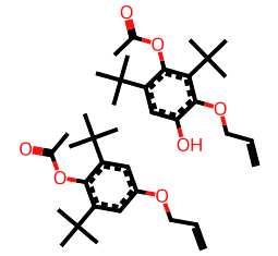 C=CCOc1c(O)cc(C(C)(C)C)c(OC(C)=O)c1C(C)(C)C.C=CCOc1cc(C(C)(C)C)c(OC(C)=O)c(C(C)(C)C)c1